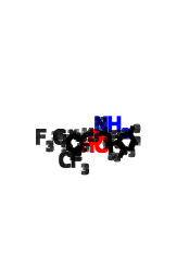 Cc1ccc(C)c(C(C)(O)CC(N)OCc2cc(C(F)(F)F)cc(C(F)(F)F)c2)c1